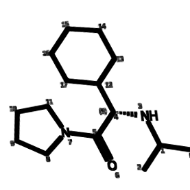 CC(C)N[C@H](C(=O)N1CCCC1)C1CCCCC1